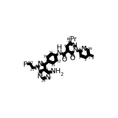 Cc1ccc(-n2nc(C(C)C)cc(C(=O)Nc3ccc(-c4nn(CCF)c5ncnc(N)c45)cc3)c2=O)nc1